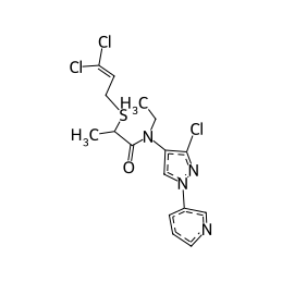 CCN(C(=O)C(C)SCC=C(Cl)Cl)c1cn(-c2cccnc2)nc1Cl